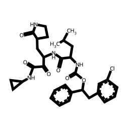 CC(C)CC(NC(=O)OC(Cc1cccc(Cl)c1)c1ccccc1)C(=O)NC(CC1CCNC1=O)C(=O)C(=O)NC1CC1